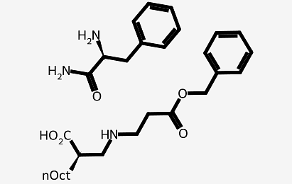 CCCCCCCC[C@H](CNCCC(=O)OCc1ccccc1)C(=O)O.NC(=O)[C@@H](N)Cc1ccccc1